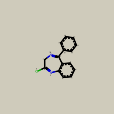 ClC1=Nc2ccccc2C(c2ccccc2)=NC1